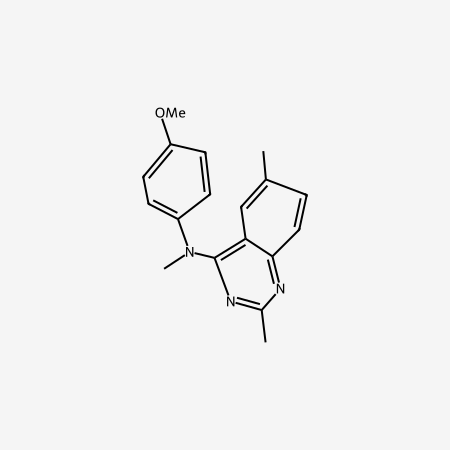 COc1ccc(N(C)c2nc(C)nc3ccc(C)cc23)cc1